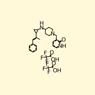 C/C(=C\c1ccccc1)C1CC1NC1CCN(Cc2ccc[nH]c2=O)CC1.O=C(O)C(F)(F)F.O=C(O)C(F)(F)F